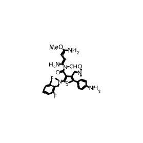 CO/C(N)=C/C=C(\N)N(C=O)C(=O)c1c(N(C)Cc2c(F)cccc2F)sc(-c2ccc(N)cc2)c1CN(C)C